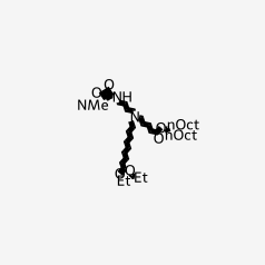 CCCCCCCCC(CCCCCCCC)OC(=O)CCCCN(CCCCCCCCCC(=O)OC(CC)CC)CCCCNc1c(NC)c(=O)c1=O